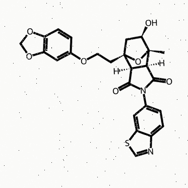 C[C@@]12O[C@@](CCOc3ccc4c(c3)OCO4)(C[C@H]1O)[C@@H]1C(=O)N(c3ccc4ncsc4c3)C(=O)[C@@H]12